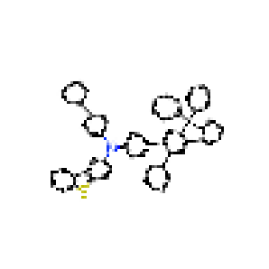 c1ccc(-c2ccc(N(c3ccc(-c4cc5c(cc4-c4ccccc4)-c4ccccc4C5(c4ccccc4)c4ccccc4)cc3)c3ccc4sc5ccccc5c4c3)cc2)cc1